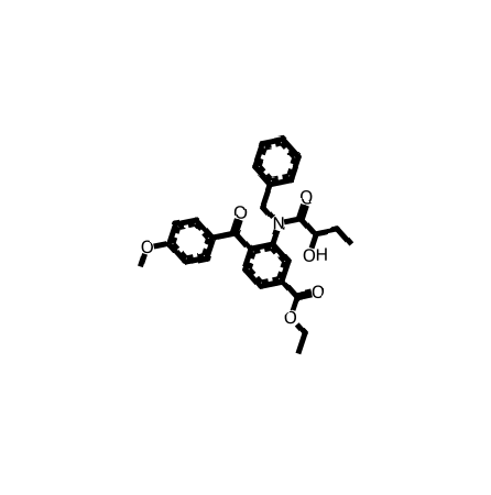 CCOC(=O)c1ccc(C(=O)c2ccc(OC)cc2)c(N(Cc2ccccc2)C(=O)C(O)CC)c1